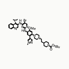 COc1cc(N2CCN(CCC3CCN(C(=O)OC(C)(C)C)CC3)CC2)c(-c2cnn(C)c2)cc1Nc1ncc(Br)c(Nc2cnc3ccccc3c2P(C)C)n1